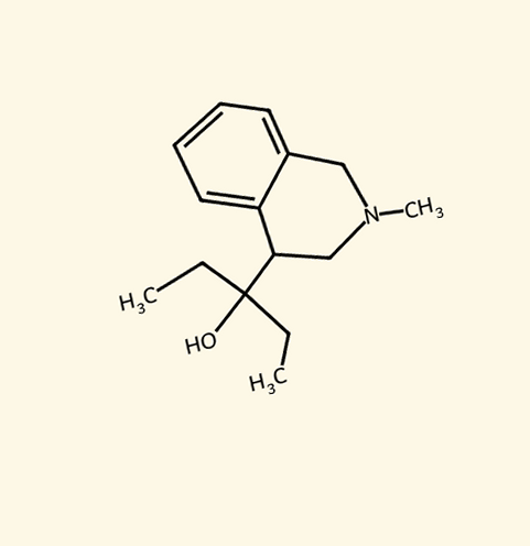 CCC(O)(CC)C1CN(C)Cc2ccccc21